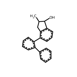 CC1Cc2c(-c3ccccc3-c3ccccc3)cccc2C1O